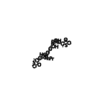 CCCN(CC(O)COCCOCC(O)N(CCC)CC(O)COc1cc(C)c2sc3ccccc3c(=O)c2c1)CC(O)COc1cc(C)c2sc3ccccc3c(=O)c2c1